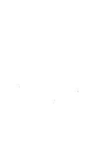 COc1cc2c(c(OC)c1OC)[C]=C2